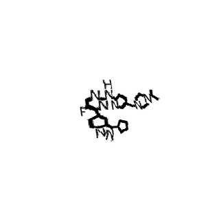 CC(C)N1CCN(Cc2ccc(Nc3ncc(F)c(-c4ccc5nn(C)c(C6CCCC6)c5c4)n3)nc2)CC1